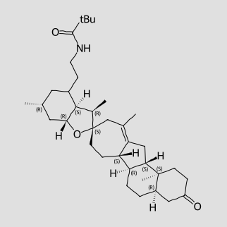 CC1=C2C[C@H]3[C@@H](CC[C@@H]4CC(=O)CC[C@@]43C)[C@@H]2CC[C@@]2(C1)O[C@@H]1C[C@H](C)CC(CCNC(=O)C(C)(C)C)[C@H]1[C@H]2C